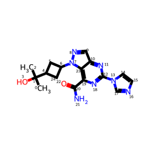 CC(C)(O)C1CC(n2ncc3nc(-n4ccnc4)nc(C(N)=O)c32)C1